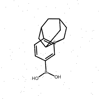 OB(O)c1ccc2c(c1)C1CC3CC(CC2C3)C1